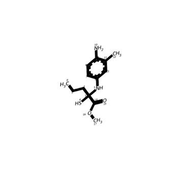 CCCC(S)(Nc1ccc(N)c(C)c1)C(=O)OC